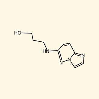 OCCCNc1ccc2nccn2n1